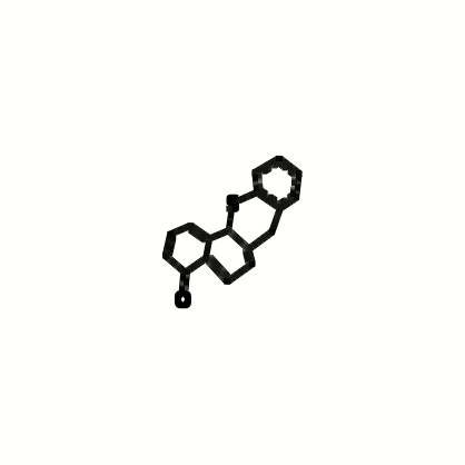 O=C1C=CC=C2C1=CC=C1Cc3ccccc3SC12